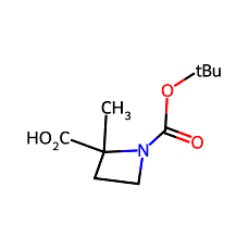 CC(C)(C)OC(=O)N1CCC1(C)C(=O)O